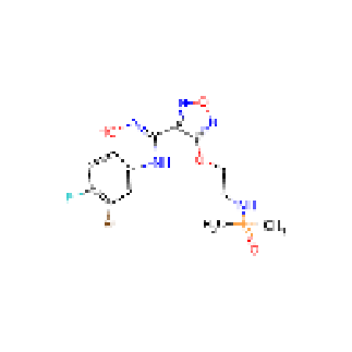 CP(C)(=O)NCCOc1nonc1/C(=N/O)Nc1ccc(F)c(Br)c1